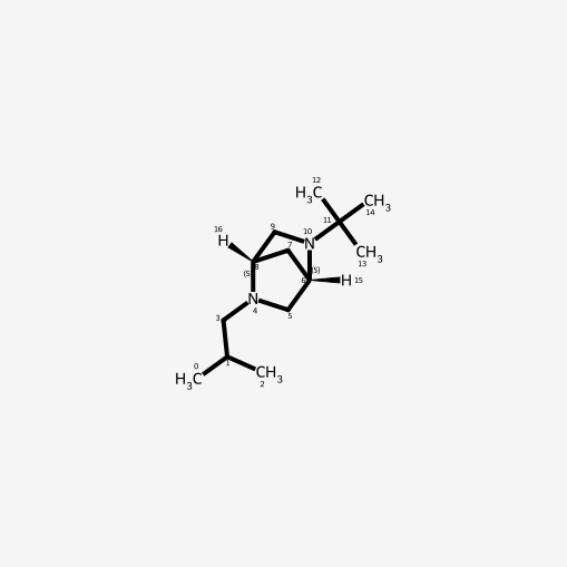 CC(C)CN1C[C@@H]2C[C@H]1CN2C(C)(C)C